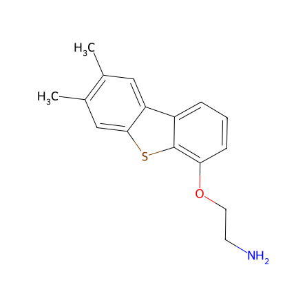 Cc1cc2sc3c(OCCN)cccc3c2cc1C